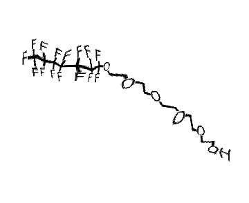 OCCOCCOCCOCCOCCOC(F)(F)C(F)(F)C(F)(F)C(F)(F)C(F)(F)C(F)(F)C(F)(F)F